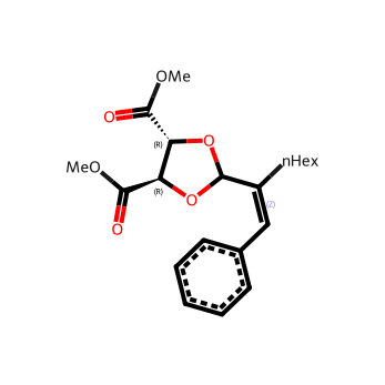 CCCCCC/C(=C/c1ccccc1)C1O[C@@H](C(=O)OC)[C@H](C(=O)OC)O1